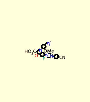 COc1c(N2CCN(c3ccc(C#N)cc3)CC2)c(F)cc2c(=O)c(C(=O)O)cn(-c3ccc(CN(C)C)cc3)c12